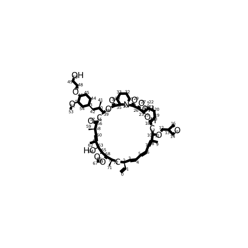 C=C[C@@H]1/C=C/C=C/C=C(\C)C(OCC2COC2)C[C@@H]2CC[C@@H](C)[C@@](O)(O2)C(=O)C(=O)N2CCCCC2C(=O)O[C@H]([C@H](C)C[C@@H]2CC[C@@H](OCCO)[C@H](OC)C2)CC(=O)[C@H](C)/C=C(\C)[C@@H](O)[C@@H](OC)C(=O)[C@H](C)C1